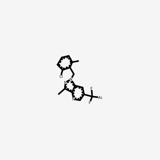 CC(=O)C(F)(F)c1cnc2c(C)nn(Cc3c(C)cccc3Cl)c2c1